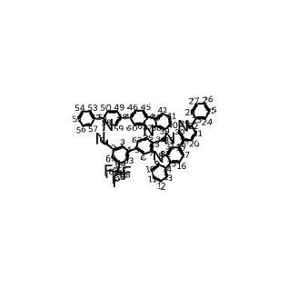 N#Cc1cc(-c2cc(-n3c4ccccc4c4ccc(-c5ccc(-c6ccccc6)nc5)cc43)c(C#N)c(-n3c4ccccc4c4ccc(-c5ccc(-c6ccccc6)nc5)cc43)c2)cc(C(F)(F)F)c1